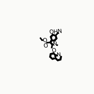 CCOC(=O)c1c(COc2cccc3cccnc23)n(C)c2cc(C#N)c(O)cc12